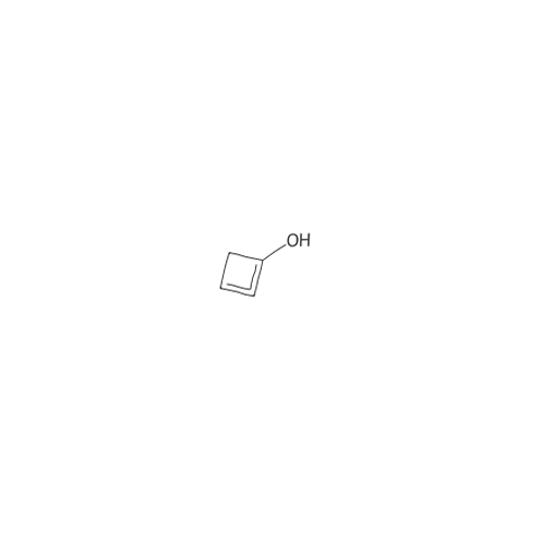 OC1=C=CC1